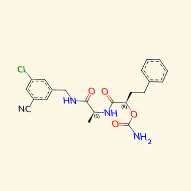 C[C@H](NC(=O)[C@@H](CCc1ccccc1)OC(N)=O)C(=O)NCc1cc(Cl)cc(C#N)c1